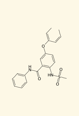 C/C=C\C(=C/C)Oc1ccc(NS(C)(=O)=O)c(C(=O)Nc2ccccc2)c1